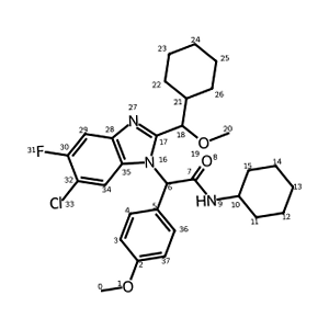 COc1ccc(C(C(=O)NC2CCCCC2)n2c(C(OC)C3CCCCC3)nc3cc(F)c(Cl)cc32)cc1